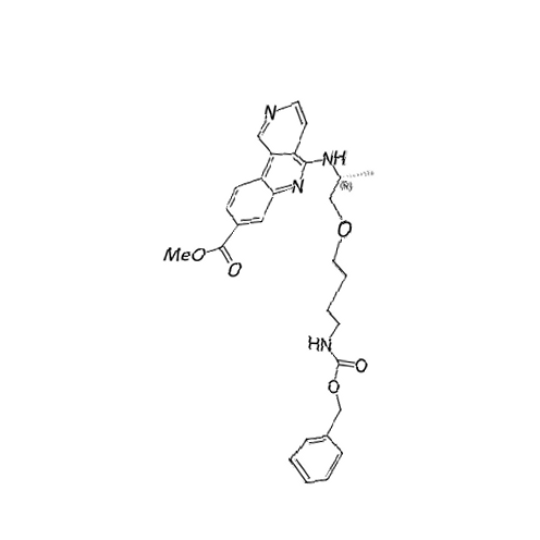 COC(=O)c1ccc2c(c1)nc(N[C@H](C)COCCCCNC(=O)OCc1ccccc1)c1ccncc12